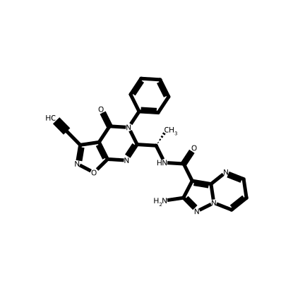 C#Cc1noc2nc([C@H](C)NC(=O)c3c(N)nn4cccnc34)n(-c3ccccc3)c(=O)c12